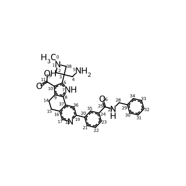 CN1CC(CN)(c2[nH]c3c(c2C(=O)O)CCc2cnc(-c4cccc(C(=O)NCc5ccccc5)c4)cc2-3)C1